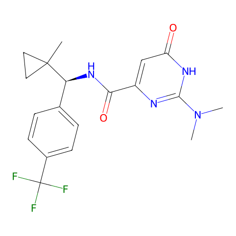 CN(C)c1nc(C(=O)N[C@@H](c2ccc(C(F)(F)F)cc2)C2(C)CC2)cc(=O)[nH]1